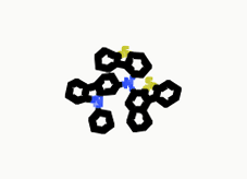 c1ccc(-n2c3ccccc3c3ccc(N(c4cc5ccccc5c5c4sc4ccccc45)c4cccc5sc6ccccc6c45)cc32)cc1